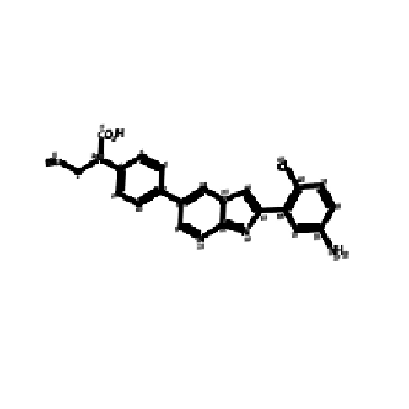 CC(C)(C)CN(C(=O)O)c1ccc(-c2cnc3nc(-c4cc(N)ccc4Cl)cn3c2)cc1